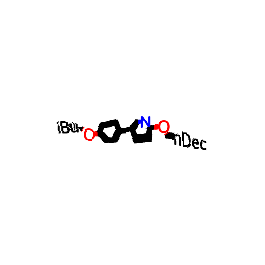 CCCCCCCCCCCOc1ccc(-c2ccc(OC[C@@H](C)CC)cc2)cn1